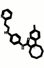 Cc1ccc(/C2=C(\C(=O)Nc3ccc(NCCc4ccccn4)cc3)CCCCCC2)cc1